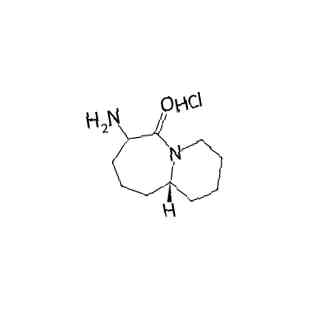 Cl.NC1CCC[C@H]2CCCCN2C1=O